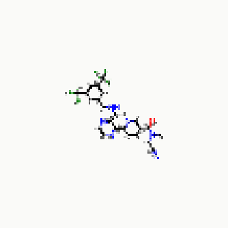 CC(NCc1cc(C(F)(F)F)cc(C(F)(F)F)c1)c1nccnc1-c1ccc(C(=O)N(C)CC#N)cn1